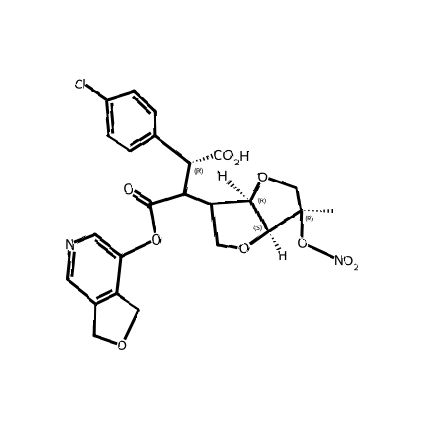 C[C@@]1(O[N+](=O)[O-])CO[C@@H]2C(C(C(=O)Oc3cncc4c3COC4)[C@@H](C(=O)O)c3ccc(Cl)cc3)CO[C@@H]21